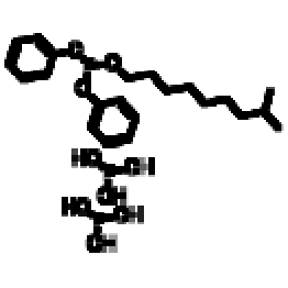 CC(C)CCCCCCCOP(Oc1ccccc1)Oc1ccccc1.OP(O)O.OP(O)O